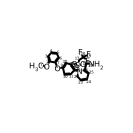 COc1ccccc1Oc1ccc([N+]2(S(=O)(=O)CC(F)(F)F)CC=CC=C2CN)cc1